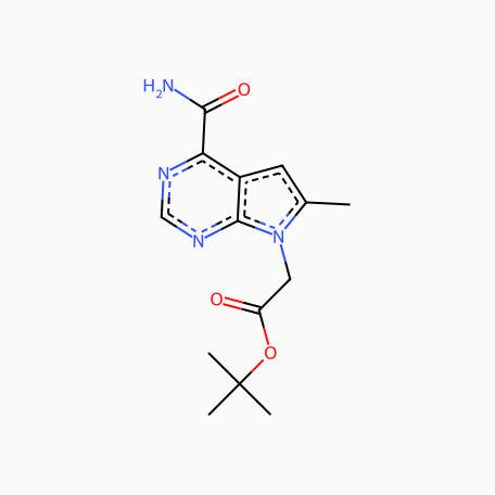 Cc1cc2c(C(N)=O)ncnc2n1CC(=O)OC(C)(C)C